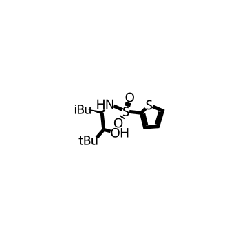 CC[C@H](C)[C@H](NS(=O)(=O)c1cccs1)C(O)C(C)(C)C